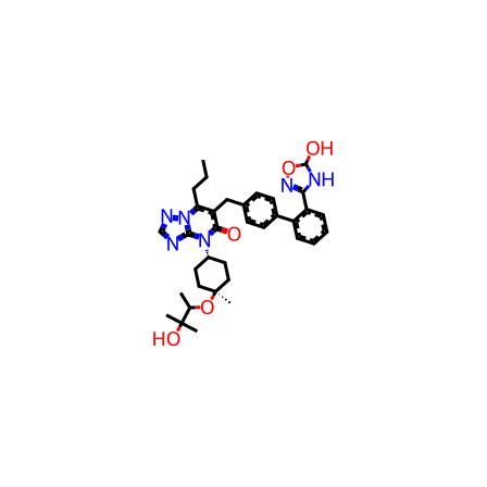 CCCc1c(Cc2ccc(-c3ccccc3C3=NOC(O)N3)cc2)c(=O)n([C@H]2CC[C@](C)(OC(C)C(C)(C)O)CC2)c2ncnn12